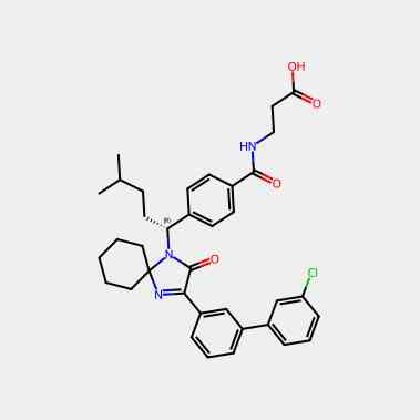 CC(C)CC[C@H](c1ccc(C(=O)NCCC(=O)O)cc1)N1C(=O)C(c2cccc(-c3cccc(Cl)c3)c2)=NC12CCCCC2